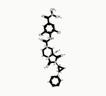 CN(C)C(=O)c1cc(Cl)c(NC(=O)N2CCN3C(=O)N([C@H]4C[C@@H]4c4ccccc4)C(=O)[C@@H]3C2)c(Cl)c1